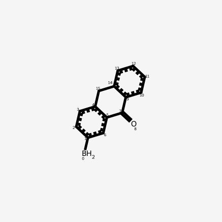 Bc1ccc2c(c1)C(=O)c1ccccc1C2